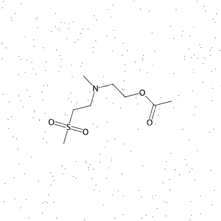 CC(=O)OCCN(C)CCS(C)(=O)=O